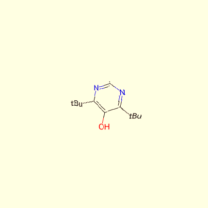 CC(C)(C)c1n[c]nc(C(C)(C)C)c1O